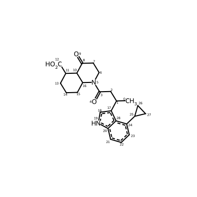 CC(CC(=O)N1CCC(=O)C2C(C(=O)O)CCCC21)c1c[nH]c2cccc(C3CC3)c12